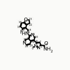 Cn1nc(C(N)=O)cc1-c1cnc(NCc2c(F)ccc3c2CCO3)c2cnccc12